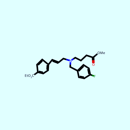 CCOC(=O)c1ccc(/C=C/CN(CCCC(=O)OC)Cc2ccc(F)cc2)cc1